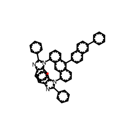 c1ccc(-c2ccc3cc(-c4c5cccc(-n6c(-c7ccccc7)nc7ccccc76)c5cc5c(-n6c(-c7ccccc7)nc7ccccc76)cccc45)ccc3c2)cc1